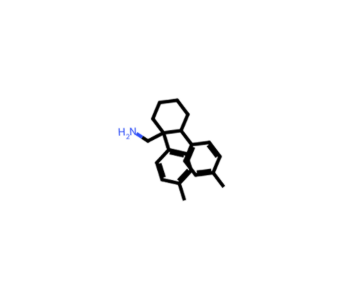 Cc1ccc(C2CCCCC2(CN)c2ccc(C)cc2)cc1